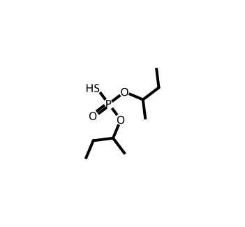 CCC(C)OP(=O)(S)OC(C)CC